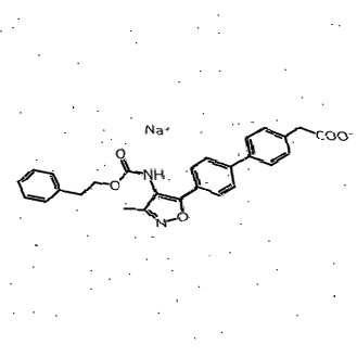 Cc1noc(-c2ccc(-c3ccc(CC(=O)[O-])cc3)cc2)c1NC(=O)OCCc1ccccc1.[Na+]